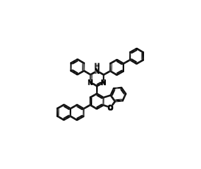 c1ccc(C2=NC(c3cc(-c4ccc5ccccc5c4)cc4oc5ccccc5c34)=NC(c3ccc(-c4ccccc4)cc3)N2)cc1